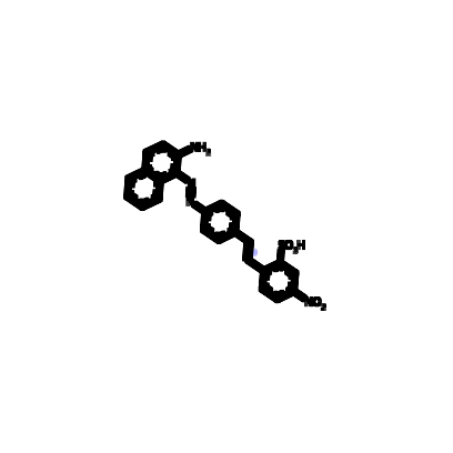 Nc1ccc2ccccc2c1N=Nc1ccc(/C=C/c2ccc([N+](=O)[O-])cc2S(=O)(=O)O)cc1